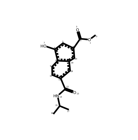 COC(=O)c1cc(O)c2ccc(C(=O)NC(C)C)cc2c1